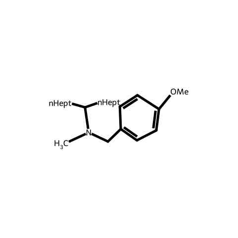 CCCCCCCC(CCCCCCC)N(C)Cc1ccc(OC)cc1